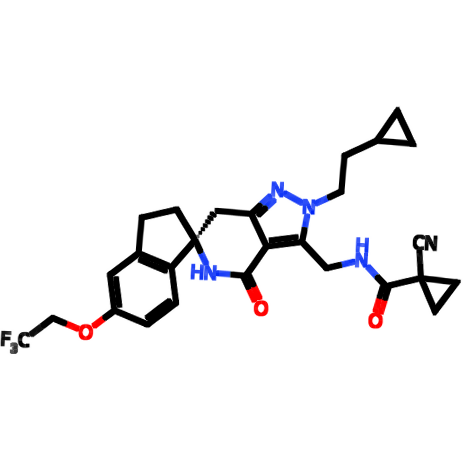 N#CC1(C(=O)NCc2c3c(nn2CCC2CC2)C[C@]2(CCc4cc(OCC(F)(F)F)ccc42)NC3=O)CC1